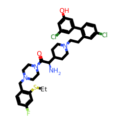 CCSc1cc(F)ccc1CN1CCN(C(=O)[C@H](N)C2CCN(CCc3cc(Cl)ccc3-c3cc(O)cc(Cl)c3)CC2)CC1